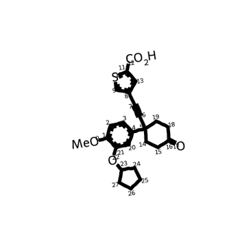 COc1ccc(C2(C#Cc3csc(C(=O)O)c3)CCC(=O)CC2)cc1OC1CCCC1